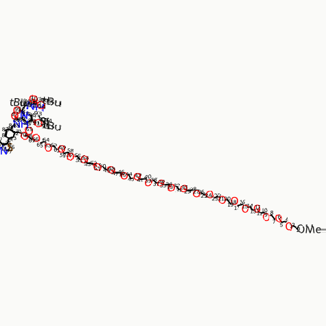 COCCOCCOCCOCCOCCOCCOCCOCCOCCOCCOCCOCCOCCOCCOCCOCCOCCOCCOCCOCCOCCOCCOCC(=O)OCc1cc(-c2scnc2C)ccc1CNC(=O)[C@@H]1C[C@@H](O[Si](C)(C)C(C)(C)C)CN1C(=O)[C@@H](NC(=O)OC(C)(C)C)C(C)(C)C